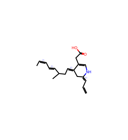 C=C/C=C1\C/C(=C\CC(C)/C=C/C=C\C)C(CC(=O)O)=CN1